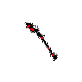 C[C@]12C[C@@H]3O[C@]45C=CC(=O)C=C4[C@@H](F)C[C@@H](C1C[C@H]1O[C@@H](c4ccc(Sc6cccc(NC(=O)CCOCCOCCOCCOCCOCCOCCNC(=O)CCN7C(=O)C=CC7=O)c6)cc4)O[C@]12C(=O)CO)[C@]35F